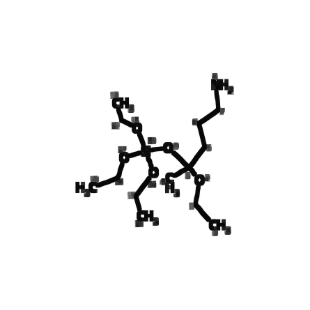 CCOC(C)(CCCN)O[Si](OCC)(OCC)OCC